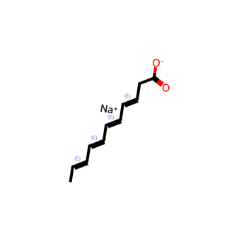 C/C=C/C=C/C=C/C=C/CC(=O)[O-].[Na+]